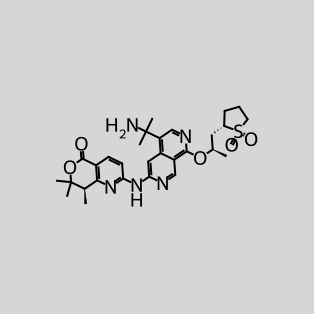 C[C@H](C[C@@H]1CCCS1(=O)=O)Oc1ncc(C(C)(C)N)c2cc(Nc3ccc4c(n3)[C@@H](C)C(C)(C)OC4=O)ncc12